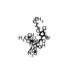 CCOC(=O)C(CC[C@H](O)c1cc(OCCCOC)c(Cl)cc1Br)(NC(=O)OC(C)(C)C)C(=O)OCC